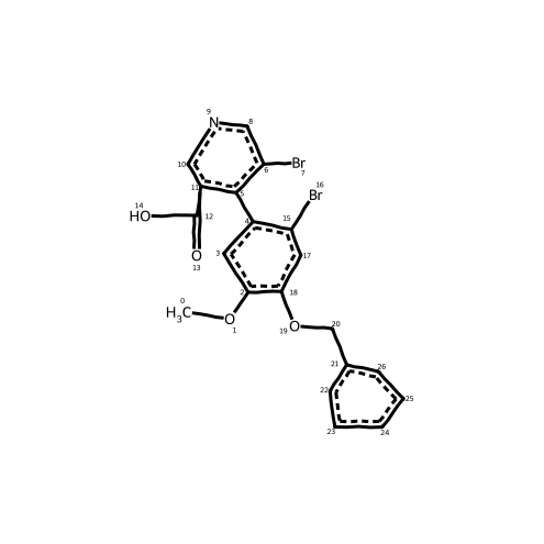 COc1cc(-c2c(Br)cncc2C(=O)O)c(Br)cc1OCc1ccccc1